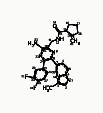 Cc1cnc2ccc(-c3nc(CNC(=O)C4CCCN4C)c(N)nc3-c3ccc(F)c(F)c3)cn12